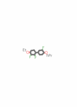 CCCOC1CCC(C2CCC(OCC)C(F)C2F)CC1F